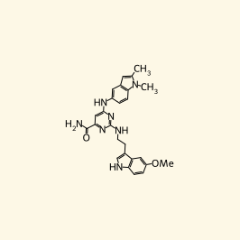 COc1ccc2[nH]cc(CCNc3nc(Nc4ccc5c(c4)cc(C)n5C)cc(C(N)=O)n3)c2c1